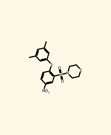 Cc1cc(C)cc(Sc2ccc([N+](=O)[O-])cc2S(=O)(=O)N2CCSCC2)c1